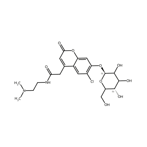 CN(C)CCNC(=O)Cc1cc(=O)oc2cc(O[C@@H]3OC(CO)[C@@H](O)C(O)C3O)c(Cl)cc12